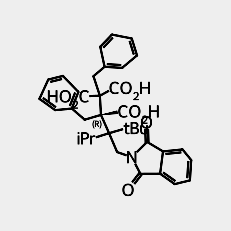 CC(C)C(CN1C(=O)c2ccccc2C1=O)(C(C)(C)C)[C@@](Cc1ccccc1)(C(=O)O)C(Cc1ccccc1)(C(=O)O)C(=O)O